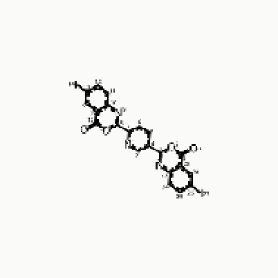 O=c1oc(-c2ccc(-c3nc4ccc(I)cc4c(=O)o3)nc2)nc2ccc(I)cc12